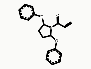 C=CC(=O)N1C(Oc2ccccc2)CCC1Oc1ccccc1